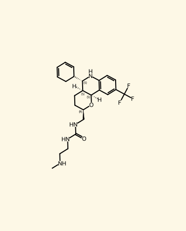 CNCCNC(=O)NC[C@H]1CC[C@@H]2[C@H](O1)c1cc(C(F)(F)F)ccc1N[C@H]2C1C=CC=CC1